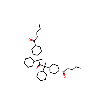 CCCCC(=O)[C@H]1CC[C@H](C(C)(C(=O)C(C)(C2CCCCC2)[C@H]2CC[C@H](C(=O)CCCC)CC2)C2CCCCC2)CC1